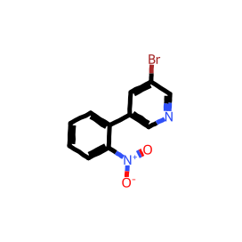 O=[N+]([O-])c1ccccc1-c1cncc(Br)c1